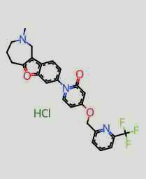 CN1CCCc2oc3cc(-n4ccc(OCc5cccc(C(F)(F)F)n5)cc4=O)ccc3c2C1.Cl